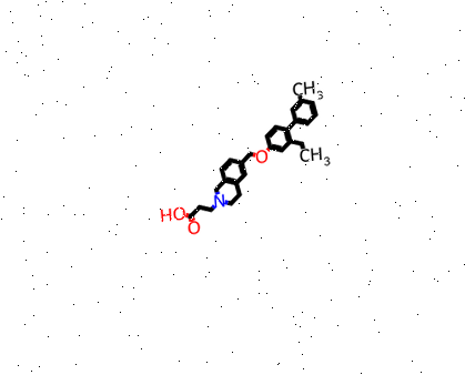 CCc1cc(OCc2ccc3c(c2)CCN(CCC(=O)O)C3)ccc1-c1cccc(C)c1